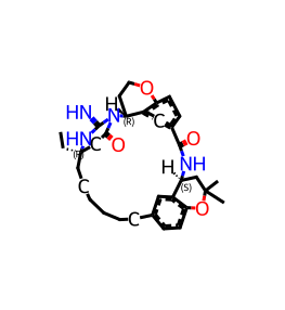 CC[C@]12CCCCCCc3ccc4c(c3)[C@H](CC(C)(C)O4)NC(=O)c3ccc4c(c3)[C@@H](CCO4)N(C(=N)N1)C(=O)C2